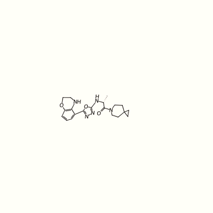 C[C@@H](Nc1nnc(-c2cccc3c2NCCO3)o1)C(=O)N1CCC2(CC1)CC2